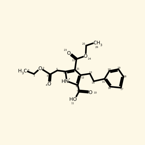 CCOC(=O)Cc1[nH]c(C(=O)O)c(CCc2ccccc2)c1C(=O)OCC